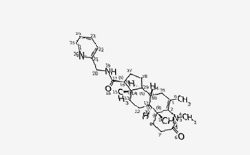 CC1=C2N(C)C(=O)CC[C@]2(C)[C@H]2CC[C@]3(C)[C@@H](C(=O)NCc4ccccn4)CC[C@H]3[C@@H]2C1